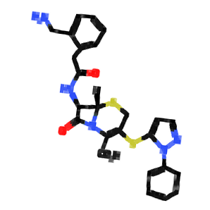 NCc1ccccc1CC(=O)N[C@@H]1C(=O)N2C(C(=O)O)=C(Sc3ccnn3-c3ccccc3)CS[C@@H]12